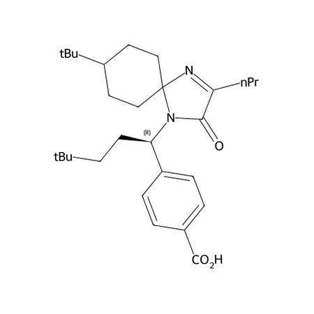 CCCC1=NC2(CCC(C(C)(C)C)CC2)N([C@H](CCC(C)(C)C)c2ccc(C(=O)O)cc2)C1=O